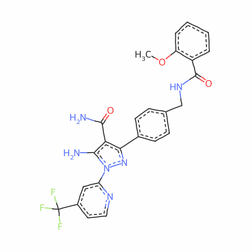 COc1ccccc1C(=O)NCc1ccc(-c2nn(-c3cc(C(F)(F)F)ccn3)c(N)c2C(N)=O)cc1